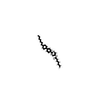 CCCCCCCC1CCC(c2ccc(-c3ncc(OC(=O)CCCCCC)cn3)cc2)CC1